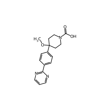 COC1(c2ccc(-c3ncccn3)cc2)CCN(C(=O)O)CC1